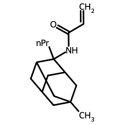 C=CC(=O)NC1(CCC)C2CC3CC1CC(C)(C3)C2